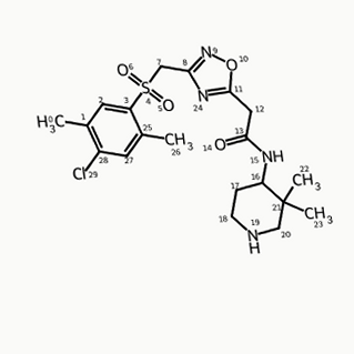 Cc1cc(S(=O)(=O)Cc2noc(CC(=O)NC3CCNCC3(C)C)n2)c(C)cc1Cl